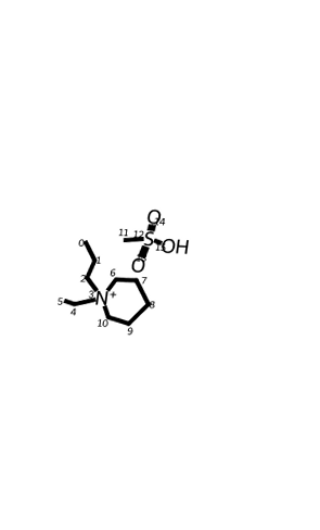 CCC[N+]1(CC)CCCCC1.CS(=O)(=O)O